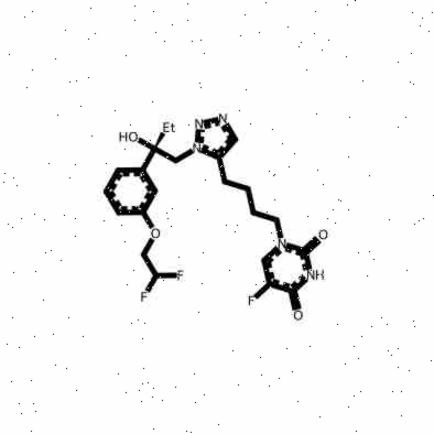 CC[C@@](O)(Cn1nncc1CCCCn1cc(F)c(=O)[nH]c1=O)c1cccc(OCC(F)F)c1